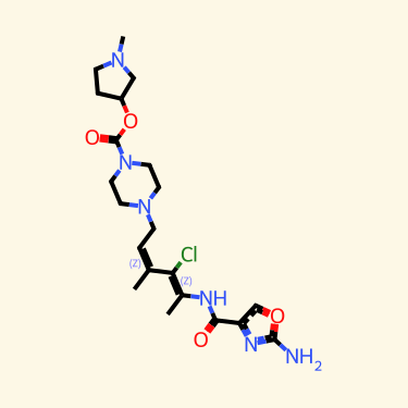 CC(=C/CN1CCN(C(=O)OC2CCN(C)C2)CC1)/C(Cl)=C(\C)NC(=O)c1coc(N)n1